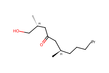 CC(C)CCC[C@@H](C)CC(=O)C[C@@H](C)CO